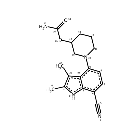 Cc1[nH]c2c(C#N)ccc(N3CCCC(OC(N)=O)C3)c2c1C